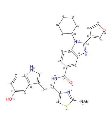 CNc1nc([C@H](Cc2c[nH]c3ccc(O)cc23)NC(=O)c2ccc3c(c2)nc(-c2ccoc2)n3C2CCCCC2)cs1